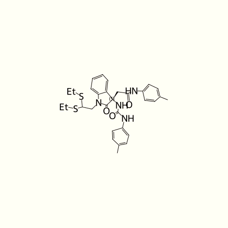 CCSC(CN1C(=O)[C@@](CC(=O)Nc2ccc(C)cc2)(NC(=O)Nc2ccc(C)cc2)c2ccccc21)SCC